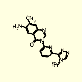 Cc1cc2ncn(-c3cccc(-c4nncn4C(C)C)n3)c(=O)c2cc1N